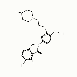 COc1ccc(N2Cc3ccc(F)c(F)c3C2=O)cc1OCCN1CCC(C)CC1